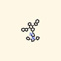 c1ccc(-c2ccc(-c3ccccc3)n2-c2ccc(-c3ccc4c(-c5ccc6ccccc6c5)c5ccccc5c(-c5ccc6ccccc6c5)c4c3)nc2)cc1